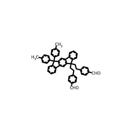 Cc1ccc(C2(c3ccc(C)cc3)c3ccccc3-c3cc4c(cc32)-c2ccccc2C4(CCc2ccc(C=O)cc2)CCc2ccc(C=O)cc2)cc1